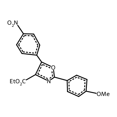 CCOC(=O)c1nc(-c2ccc(OC)cc2)oc1-c1ccc([N+](=O)[O-])cc1